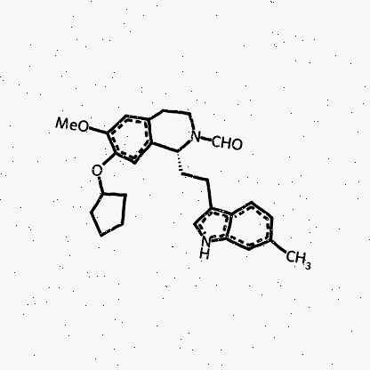 COc1cc2c(cc1OC1CCCC1)[C@@H](CCc1c[nH]c3cc(C)ccc13)N(C=O)CC2